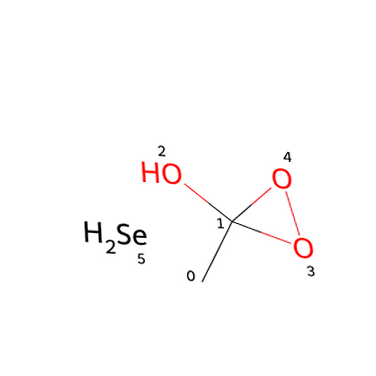 CC1(O)OO1.[SeH2]